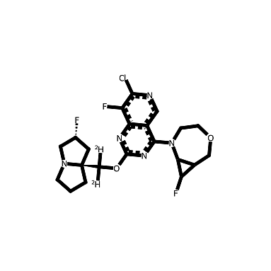 [2H]C([2H])(Oc1nc(N2CCOCC3C(F)C32)c2cnc(Cl)c(F)c2n1)[C@@]12CCCN1C[C@H](F)C2